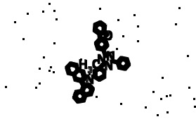 CC1(c2nc(-c3ccccc3)nc(-c3ccc4c(c3)oc3ccccc34)n2)C=C(n2c3c(c4c5ccccc5ccc42)=CC2C=CC=CC2C=3)C=CC1